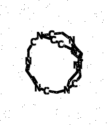 C1=N/CCN2CC/N=C/C=N/CCN(CC/N=C/1)CC/N=C/C=N/CC2